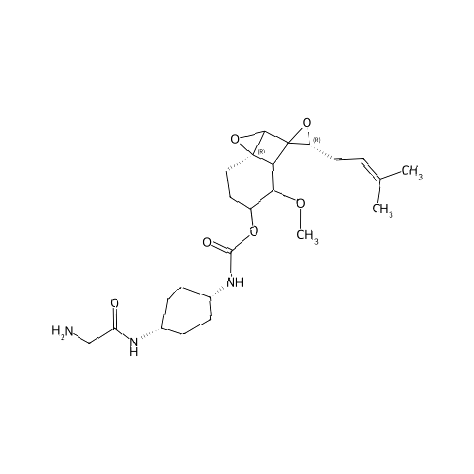 COC1C(OC(=O)N[C@H]2CC[C@@H](NC(=O)CN)CC2)CC[C@]23OC2C2(O[C@@H]2CC=C(C)C)C13